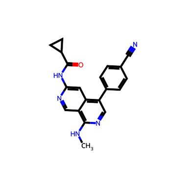 CNc1ncc(-c2ccc(C#N)cc2)c2cc(NC(=O)C3CC3)ncc12